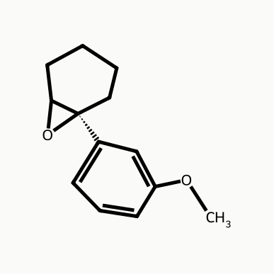 COc1cccc([C@@]23CCCCC2O3)c1